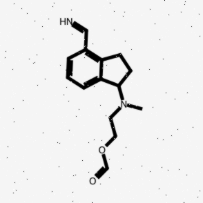 CN(CCOC=O)C1CCc2c(C=N)cccc21